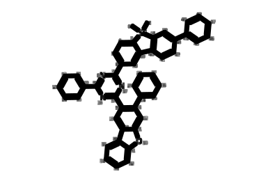 C[Si]1(C)c2ccc(-c3nc(-c4ccccc4)nc(-c4cc5c(cc4-c4ccccc4)oc4ccccc45)n3)cc2-c2ccc(-c3ccccc3)cc21